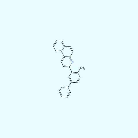 Cc1ccc(-c2ccccc2)cc1-c1ccc2c(ccc3ccccc32)n1